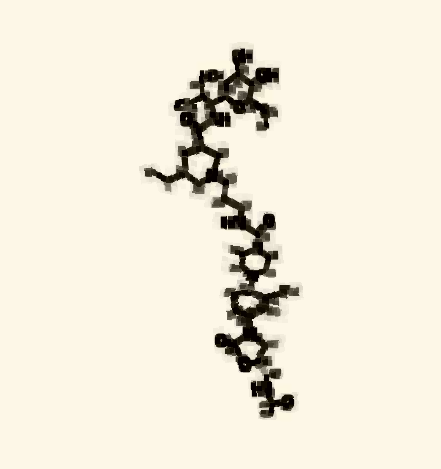 CCC1CC(C(=O)NC(C(C)Cl)C2O[C@H](SC)C(O)[C@H](O)[C@H]2O)CN(CCCNC(=O)N2CCN(c3ccc(N4C[C@H](CNC(C)=O)OC4=O)cc3F)CC2)C1